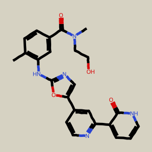 Cc1ccc(C(=O)N(C)CCO)cc1Nc1ncc(-c2ccnc(-c3ccc[nH]c3=O)c2)o1